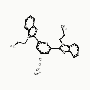 CCCn1c(-c2cccc(-c3nc4ccccc4n3CCC)n2)nc2ccccc21.[Cl-].[Cl-].[Cl-].[Nd+3]